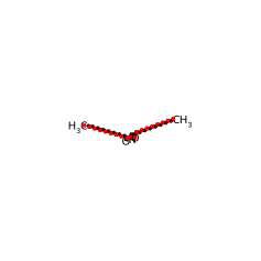 CCCCCCCCCCCCCCCCC(=O)C1=NOC(CCCCCCCCCCCCCCCC)C1